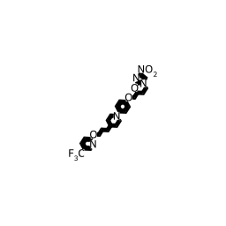 O=[N+]([O-])c1cn2c(n1)OC(COc1ccc(N3CCC(CCCOc4ccc(C(F)(F)F)cn4)CC3)cc1)CC2